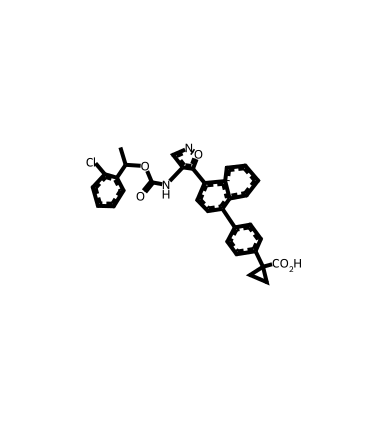 CC(OC(=O)Nc1cnoc1-c1ccc(-c2ccc(C3(C(=O)O)CC3)cc2)c2ccccc12)c1ccccc1Cl